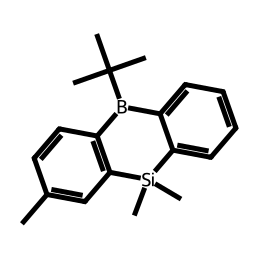 Cc1ccc2c(c1)[Si](C)(C)c1ccccc1B2C(C)(C)C